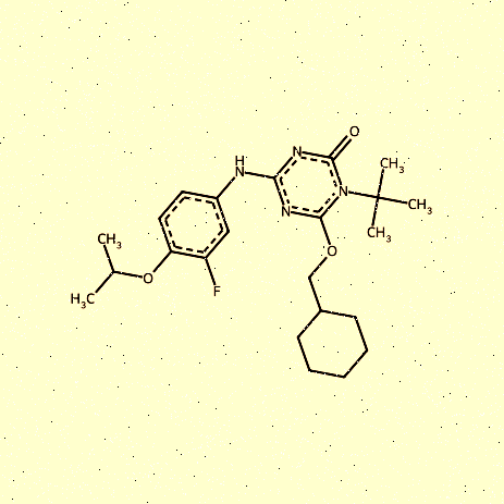 CC(C)Oc1ccc(Nc2nc(OCC3CCCCC3)n(C(C)(C)C)c(=O)n2)cc1F